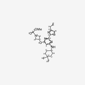 COC(=O)N1CC(Oc2cc(NC3CCC(F)(F)CC3)nc(-c3nc(CF)cs3)n2)C1